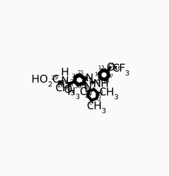 CC1C[C@@H](C)C[C@@](C)(n2c(Nc3ccc(OC(F)(F)F)cc3)nc3ccc(C(=O)N[C@H](C)C(=O)O)cc32)C1